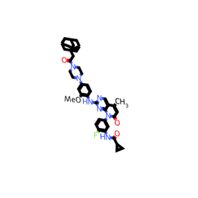 COc1cc(N2CCN(C(=O)CC34CC5CC(CC(C5)C3)C4)CC2)ccc1Nc1ncc2c(C)cc(=O)n(-c3ccc(F)c(NC(=O)C4CC4)c3)c2n1